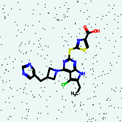 CCc1[nH]c2nc(Sc3nc(C(=O)O)cs3)nc(N3CC(Cc4cncnc4)C3)c2c1Cl